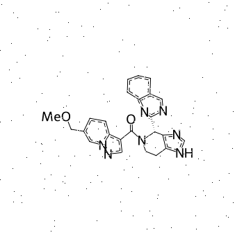 COCc1ccc2c(C(=O)N3CCc4[nH]cnc4[C@H]3c3ncc4ccccc4n3)cnn2c1